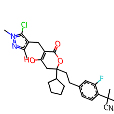 Cc1nn(C)c(Cl)c1CC1=C(O)CC(CCc2ccc(C(C)(C)C#N)c(F)c2)(C2CCCC2)OC1=O